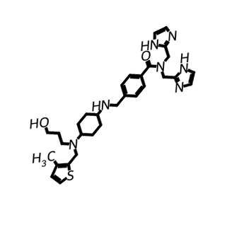 Cc1ccsc1CN(CCCO)C1CCC(NCc2ccc(C(=O)N(Cc3ncc[nH]3)Cc3ncc[nH]3)cc2)CC1